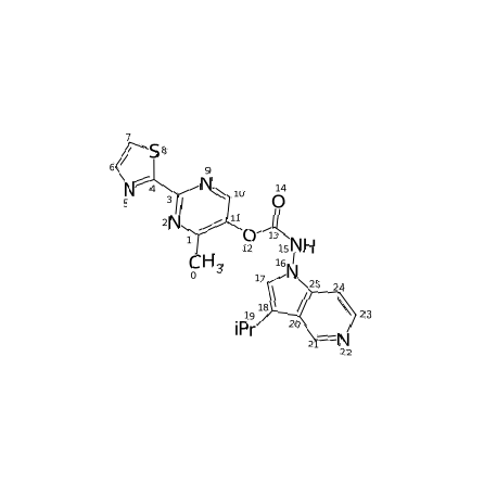 Cc1nc(-c2nccs2)ncc1OC(=O)Nn1cc(C(C)C)c2cnccc21